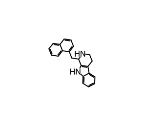 c1ccc2c(CC3NCCc4c3[nH]c3ccccc43)cccc2c1